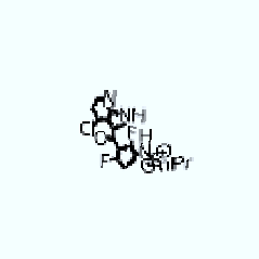 CCCS(=O)(=O)Nc1ccc(F)c(C(=O)c2c[nH]c3nccc(Cl)c23)c1F